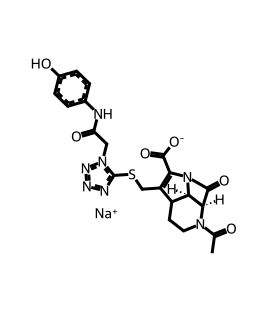 CC(=O)N1CCC2C(CSc3nnnn3CC(=O)Nc3ccc(O)cc3)=C(C(=O)[O-])N3C(=O)[C@@H]1[C@@H]23.[Na+]